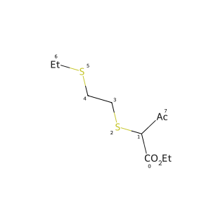 CCOC(=O)C(SCCSCC)C(C)=O